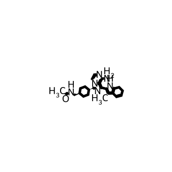 CC(=O)NC[C@H]1CC[C@H](c2nc(-c3[nH]c4c(c3C)C=CCC4)c3c(N)nccn32)CC1